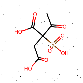 CC(=O)C(CC(=O)O)(C(=O)O)S(=O)(=O)O